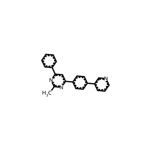 Cc1nc(-c2ccccc2)cc(-c2ccc(-c3cccnc3)cc2)n1